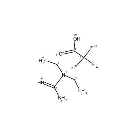 CCN(CC)C(=N)N.O=C(O)C(F)(F)F